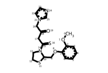 COc1ccccc1OCC1SCCN1C(=S)CC(=O)Cn1ccnc1